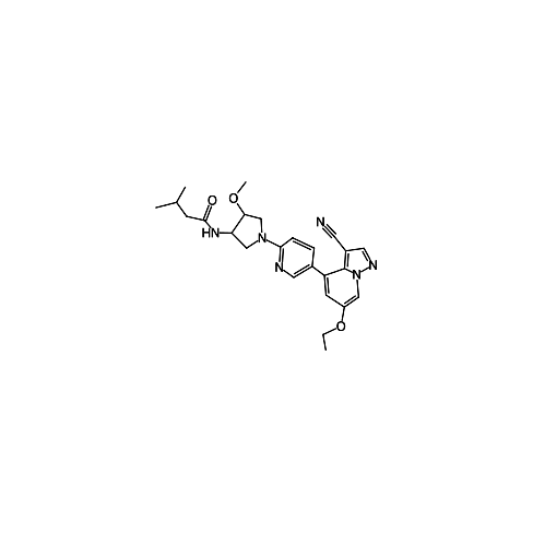 CCOc1cc(-c2ccc(N3CC(NC(=O)CC(C)C)C(OC)C3)nc2)c2c(C#N)cnn2c1